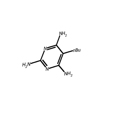 CCCCc1c(N)nc(N)nc1N